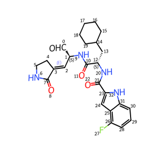 O=C[C@H](/C=C1\CCNC1=O)NC(=O)[C@H](CC1CCCCC1)NC(=O)c1cc2c(F)cccc2[nH]1